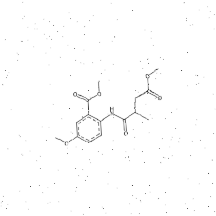 COC(=O)CC(C)C(=O)Nc1ccc(OC)cc1C(=O)OC